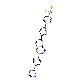 FC(F)(F)c1ccc(-c2ccc(-c3ccc4cc(-c5ccc(-c6cccnc6)cc5)cnc4c3)cc2)cc1